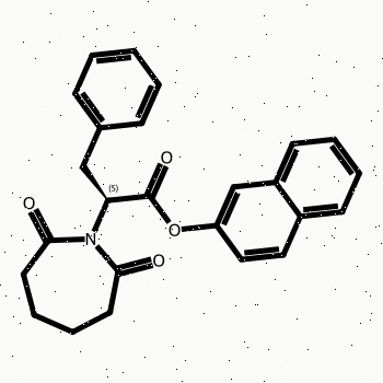 O=C(Oc1ccc2ccccc2c1)[C@H](Cc1ccccc1)N1C(=O)CCCCC1=O